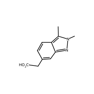 Cc1c2ccc(CC(=O)O)cc2nn1C